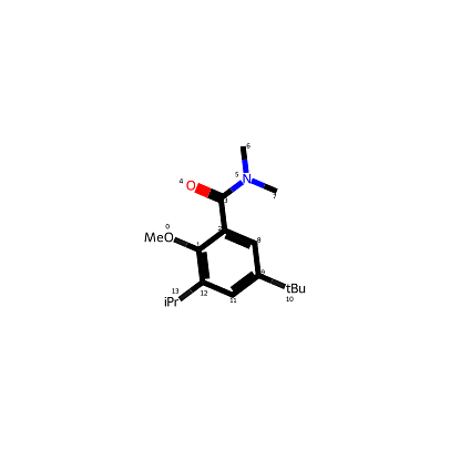 COc1c(C(=O)N(C)C)cc(C(C)(C)C)cc1C(C)C